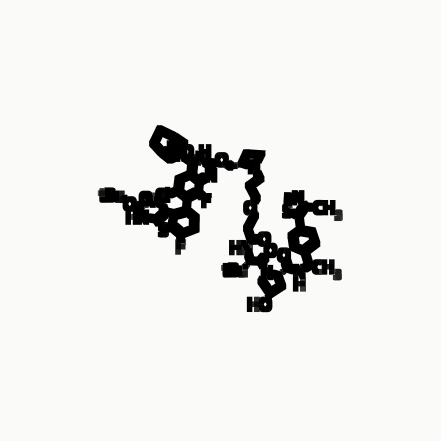 Cc1ncsc1-c1ccc([C@H](C)NC(=O)[C@@H]2C[C@@H](O)CN2C(=O)[C@@H](NC(=O)CCOCCCN2CC[C@H]2COc2nc(N3CC4CCC(C3)N4C(=O)O)c3cc(Cl)c(-c4ccc(F)c5sc(NC(=O)OC(C)(C)C)c(C#N)c45)c(F)c3n2)C(C)(C)C)cc1